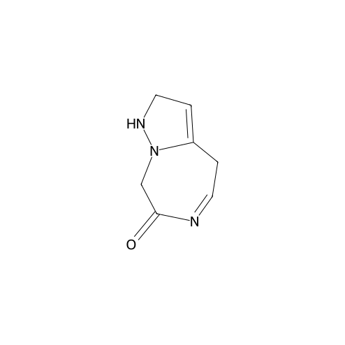 O=C1CN2NCC=C2CC=N1